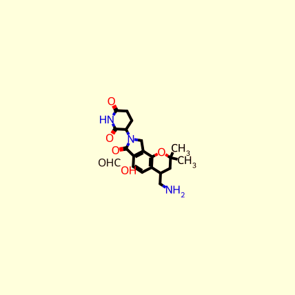 CC1(C)CC(CN)c2ccc3c(c2O1)CN(C1CCC(=O)NC1=O)C3=O.O=CO